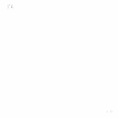 C#CCCCCCCCCCCC[NH]